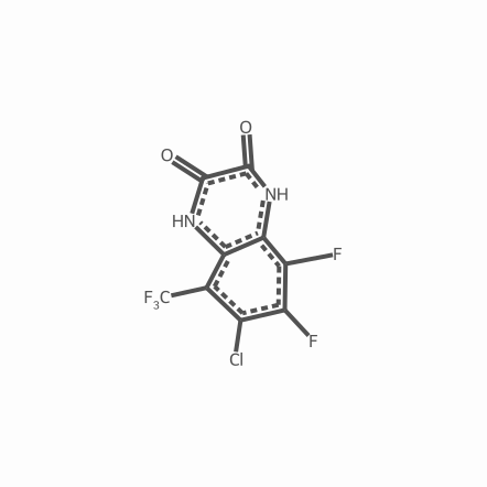 O=c1[nH]c2c(F)c(F)c(Cl)c(C(F)(F)F)c2[nH]c1=O